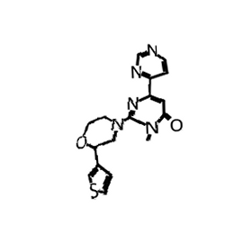 Cn1c(N2CCOC(c3ccsc3)C2)nc(-c2ccncn2)cc1=O